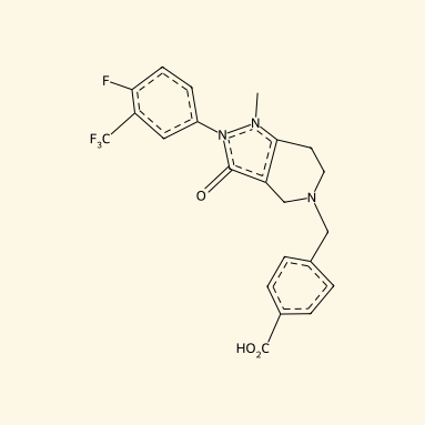 Cn1c2c(c(=O)n1-c1ccc(F)c(C(F)(F)F)c1)CN(Cc1ccc(C(=O)O)cc1)CC2